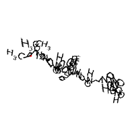 CCC12CC(C3=C(CN4CCN(c5ccc(C(=O)NS(=O)(=O)c6ccc(N[C@H](CCN7CCC(C(=O)NCCCCNc8cccc9c8C(=O)N(C8CCC(=O)NC8=O)C9=O)CC7)CSc7ccccc7)c(S(=O)(=O)C(F)(F)F)c6)cc5)CC4)CCC(C)(C)C3)(C1)C2